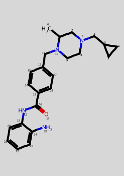 CC1CN(CC2CC2)CCN1Cc1ccc(C(=O)Nc2ccccc2N)cc1